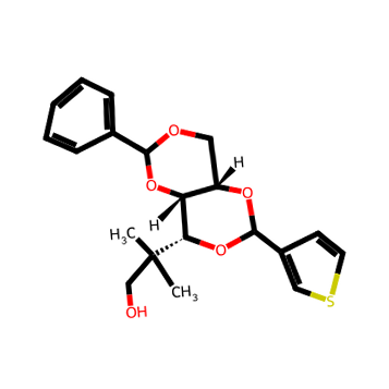 CC(C)(CO)[C@H]1OC(c2ccsc2)O[C@H]2COC(c3ccccc3)O[C@H]21